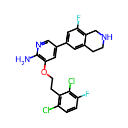 Nc1ncc(-c2cc(F)c3c(c2)CCNC3)cc1OCCc1c(Cl)ccc(F)c1Cl